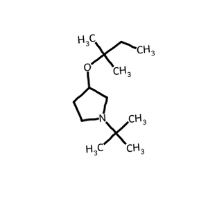 CCC(C)(C)OC1CCN(C(C)(C)C)C1